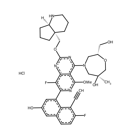 C#Cc1c(F)ccc2cc(O)cc(-c3nc(OC)c4c(N5C[C@H](CO)OC[C@@](C)(O)C5)nc(OC[C@@]56CCCN[C@@H]5CCC6)nc4c3F)c12.Cl